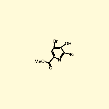 COC(=O)c1cc(Br)c(O)c(Br)n1